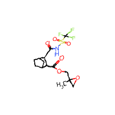 CC1(COC(=O)C2C3CCC(C3)C2C(=O)NS(=O)(=O)C(F)(F)F)CO1